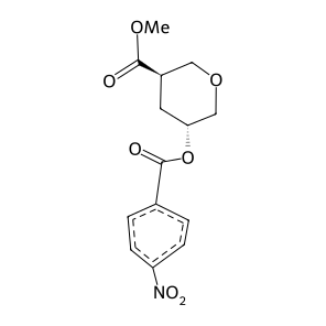 COC(=O)[C@H]1COC[C@H](OC(=O)c2ccc([N+](=O)[O-])cc2)C1